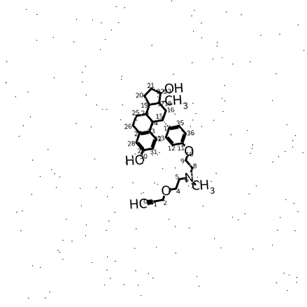 C#CCOCCN(C)CCOc1ccc([C@H]2C[C@@]3(C)C(CC[C@@H]3O)C3CCc4cc(O)ccc4C32)cc1